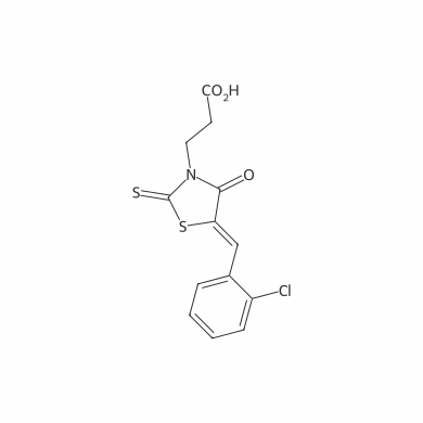 O=C(O)CCN1C(=O)/C(=C/c2ccccc2Cl)SC1=S